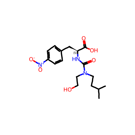 CC(C)CCN(CCO)C(=O)N[C@@H](Cc1ccc([N+](=O)[O-])cc1)C(=O)O